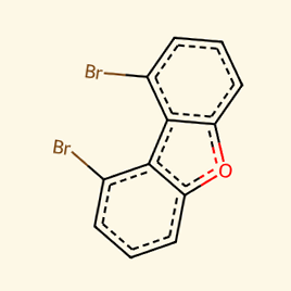 Brc1cccc2oc3cccc(Br)c3c12